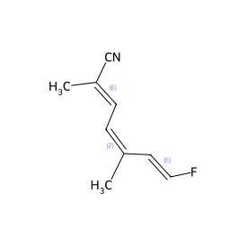 CC(=C/C=C(\C)C#N)/C=C/F